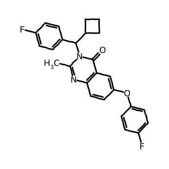 Cc1nc2ccc(Oc3ccc(F)cc3)cc2c(=O)n1C(c1ccc(F)cc1)C1CCC1